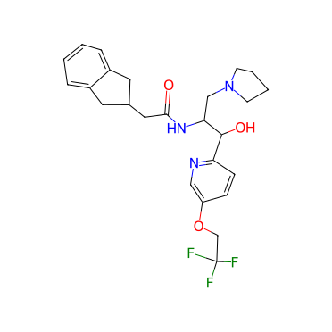 O=C(CC1Cc2ccccc2C1)NC(CN1CCCC1)C(O)c1ccc(OCC(F)(F)F)cn1